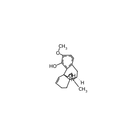 COc1ccc2c(c1O)C13C=CCCC1(O)[C@H](C2)N(C)CC3